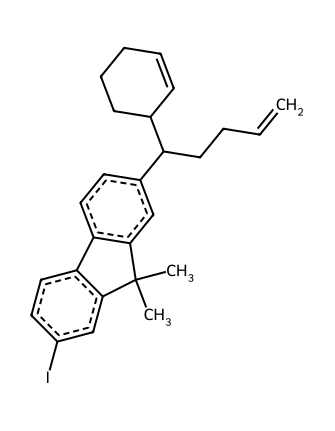 C=CCCC(c1ccc2c(c1)C(C)(C)c1cc(I)ccc1-2)C1C=CCCC1